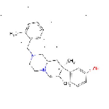 Cc1ccccc1CN1CCN2CC(C)[C@](C)(c3cccc(O)c3)CC2C1